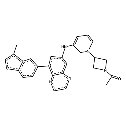 CC(=O)N1CC(N2C=CC=C(Nc3cc(-c4ccc5scc(C)c5c4)c4nccnc4c3)C2)C1